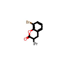 CC(C)C1Cc2cccc(Br)c2OC1=O